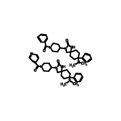 CN(C)C1(c2ccccc2)CCC2(CC1)CN(C1CCN(C(=O)c3ccccc3)CC1)C(=O)N2.CN(C)C1(c2ccccc2)CCC2(CC1)CN(C1CCN(C(=O)c3ccncc3)CC1)C(=O)N2